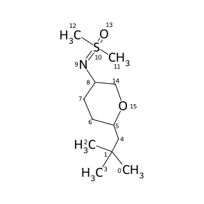 CC(C)(C)CC1CCC(N=S(C)(C)=O)CO1